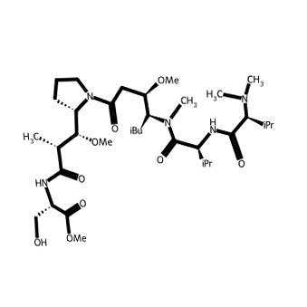 CC[C@H](C)[C@@H]([C@@H](CC(=O)N1CCC[C@H]1[C@H](OC)[C@@H](C)C(=O)N[C@@H](CO)C(=O)OC)OC)N(C)C(=O)[C@@H](NC(=O)[C@H](C(C)C)N(C)C)C(C)C